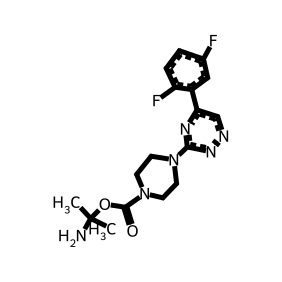 CC(C)(N)OC(=O)N1CCN(c2nncc(-c3cc(F)ccc3F)n2)CC1